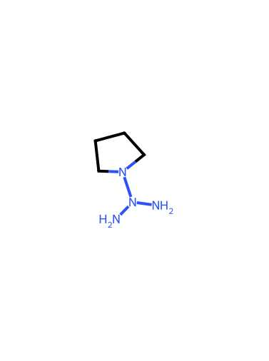 NN(N)N1CCCC1